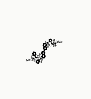 COC(=O)NC(C(=O)N1CCC[C@H]1c1nc2ccc3cc(-c4ccc5c(ccc6nc([C@@H]7[C@@H]8CC[C@@H](C8)N7C(=O)[C@H](NC(=O)OC)c7ccccc7)[nH]c65)c4)ccc3c2[nH]1)C(C)C